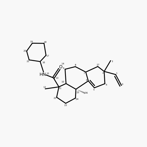 C=CC1(C)CC=C2C(CCC3C(C)(C(=O)NC4CCCCC4)CCC[C@]23C)C1